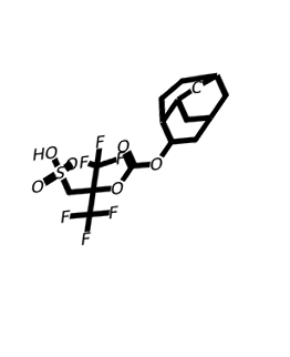 O=C(OC1CC2CC3CCC1C(C3)C2)OC(CS(=O)(=O)O)(C(F)(F)F)C(F)(F)F